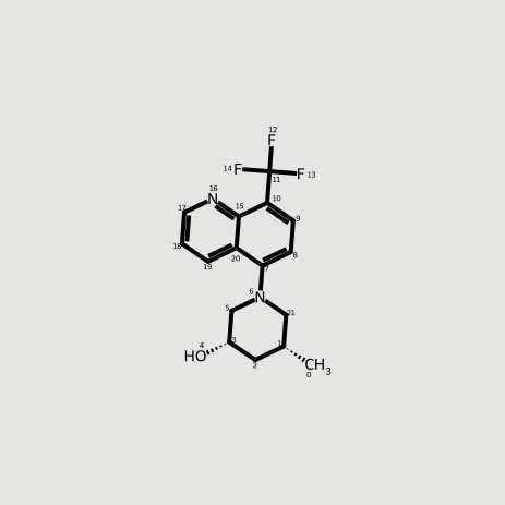 C[C@@H]1C[C@H](O)CN(c2ccc(C(F)(F)F)c3ncccc23)C1